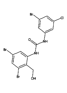 O=C(Nc1cc(Cl)cc(Br)c1)Nc1cc(Br)cc(Br)c1CO